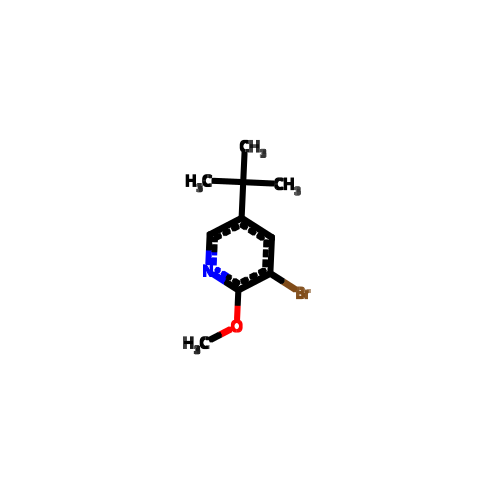 COc1ncc(C(C)(C)C)cc1Br